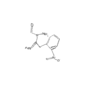 N=C(Cc1ccccc1[N+](=O)[O-])N(N)C=O